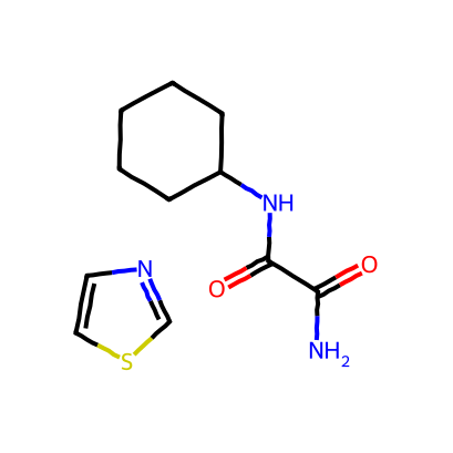 NC(=O)C(=O)NC1CCCCC1.c1cscn1